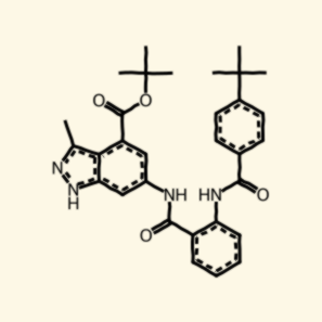 Cc1n[nH]c2cc(NC(=O)c3ccccc3NC(=O)c3ccc(C(C)(C)C)cc3)cc(C(=O)OC(C)(C)C)c12